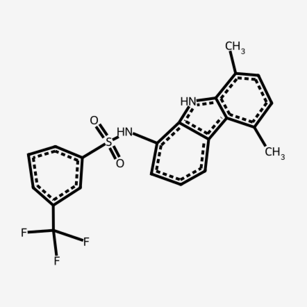 Cc1ccc(C)c2c1[nH]c1c(NS(=O)(=O)c3cccc(C(F)(F)F)c3)cccc12